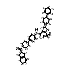 O=C(Nc1ccc(N2CCN(C(=O)C3CC4=C(CCC=C4)C3)CC2)nc1)c1oc(N2CCC(c3ccccc3)CC2)nc1C(F)(F)F